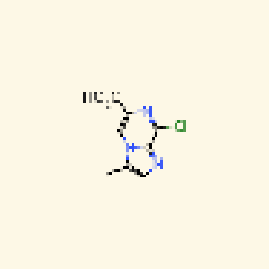 Cc1cnc2c(Cl)nc(C(=O)O)cn12